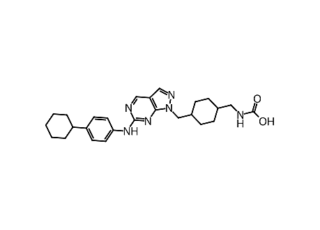 O=C(O)NCC1CCC(Cn2ncc3cnc(Nc4ccc(C5CCCCC5)cc4)nc32)CC1